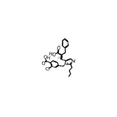 CCCCc1ncc(/C=C(\Cc2ccccc2)C(=O)O)n1Cc1ccc(C(=O)O)c(Cl)c1